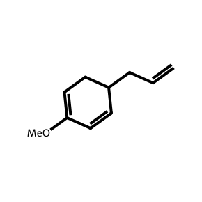 C=CCC1C=CC(OC)=CC1